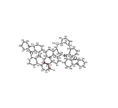 CC(C)c1cc(N(c2ccccc2-c2ccccc2)c2cccc3c2oc2ccccc23)c2ccc3c4cc(c5ccc1c2c35)N(c1cccc2c1oc1ccccc12)c1ccccc1-c1cccc(c1)C4C